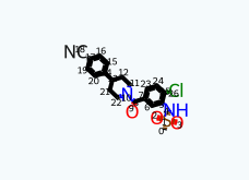 CS(=O)(=O)Nc1cc(C(=O)N2CCC(c3ccc(C#N)cc3)CC2)ccc1Cl